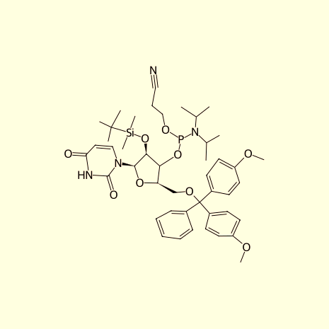 COc1ccc(C(OC[C@H]2O[C@@H](n3ccc(=O)[nH]c3=O)[C@@H](O[Si](C)(C)C(C)(C)C)C2OP(OCCC#N)N(C(C)C)C(C)C)(c2ccccc2)c2ccc(OC)cc2)cc1